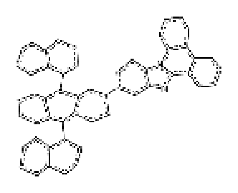 c1ccc2c(-c3c4ccccc4c(-c4cccc5ccccc45)c4cc(-c5ccc6c(c5)nc5c7ccccc7c7ccccc7n65)ccc34)cccc2c1